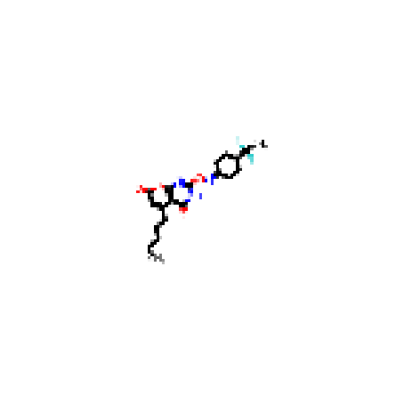 CCCCCc1cc(=O)oc2nc(ON=C3CCC(C(C)(F)F)CC3)[nH]c(=O)c12